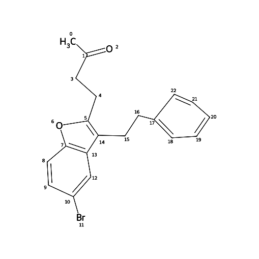 CC(=O)CCc1oc2ccc(Br)cc2c1CCc1ccccc1